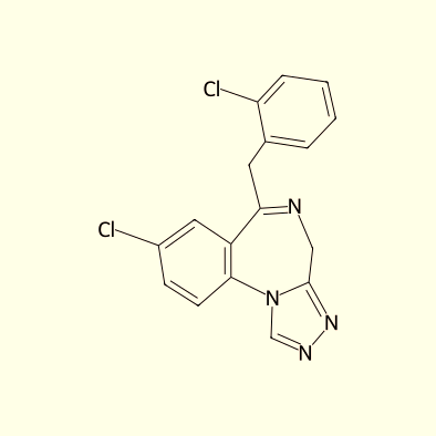 Clc1ccc2c(c1)C(Cc1ccccc1Cl)=NCc1nncn1-2